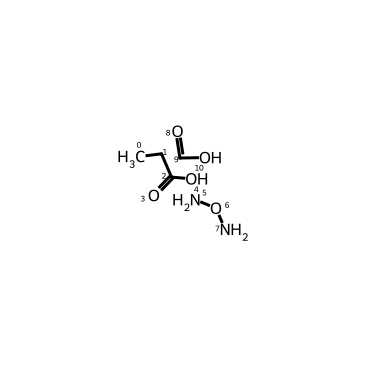 CCC(=O)O.NON.O=CO